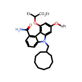 CCCOc1cc(OC(CC)C(=O)OCC)c2c3c(C(N)=O)cccc3n(CC3CCCCCCCC3)c2c1